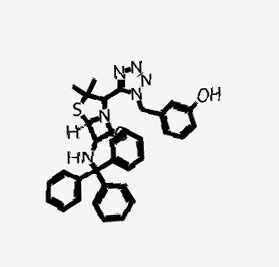 CC1(C)S[C@@H]2C(NC(c3ccccc3)(c3ccccc3)c3ccccc3)C(=O)N2C1c1nnnn1Cc1cccc(O)c1